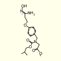 COC(=O)CN(Cc1ccc(OCC/C(N)=N/O)cc1)C(=O)OCC(C)C